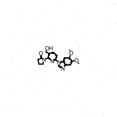 COc1cc2ncn(-c3ccc(CO)c(N4CCCC4=O)n3)c2cc1OC